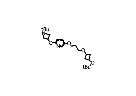 CC(C)(C)OC1CC(OCCCOc2ccc(OC3CN(C(C)(C)C)C3)nc2)C1